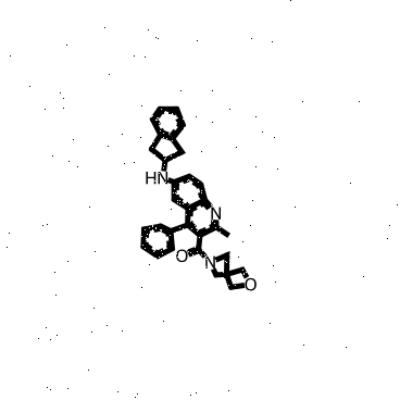 Cc1nc2ccc(NC3Cc4ccccc4C3)cc2c(-c2ccccc2)c1C(=O)N1CC2(COC2)C1